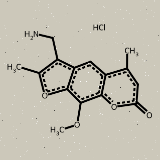 COc1c2oc(=O)cc(C)c2cc2c(CN)c(C)oc12.Cl